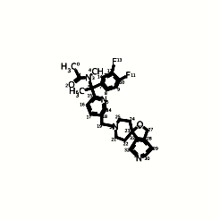 CC(=O)N(C)C(C)(c1ccc(F)c(F)c1)c1ccc(CN2CCC3(CC2)OCc2ccncc23)cn1